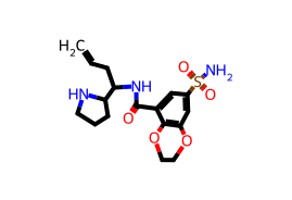 C=CCC(NC(=O)c1cc(S(N)(=O)=O)cc2c1OCCO2)C1CCCN1